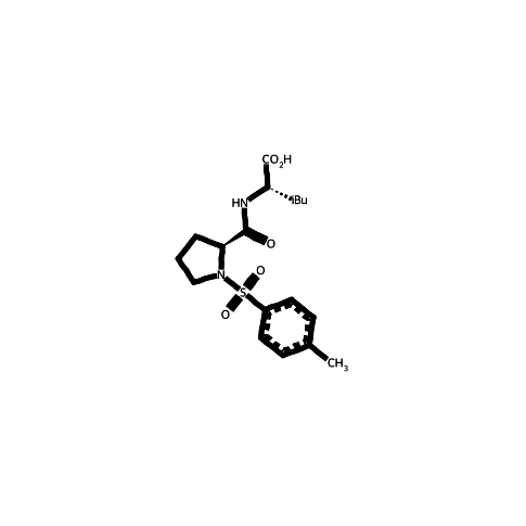 CCC(C)[C@H](NC(=O)[C@@H]1CCCN1S(=O)(=O)c1ccc(C)cc1)C(=O)O